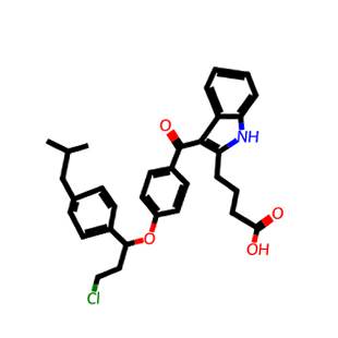 CC(C)Cc1ccc(C(CCCl)Oc2ccc(C(=O)c3c(CCCC(=O)O)[nH]c4ccccc34)cc2)cc1